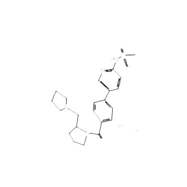 CS(=O)(=O)Nc1ccc(-c2ccc(C(=O)N3CCCC3CN3CCCC3)cc2)cn1.Cl.Cl